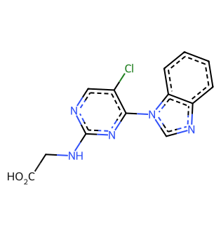 O=C(O)CNc1ncc(Cl)c(-n2cnc3ccccc32)n1